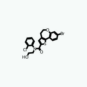 O=C(c1cc2c(s1)-c1ccc(Br)cc1OCC2)N(CCO)c1ccccc1Cl